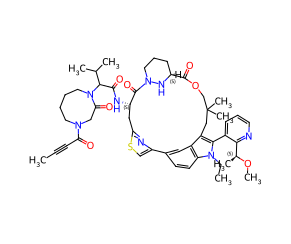 CC#CC(=O)N1CCCCN(C(C(=O)N[C@H]2Cc3nc(cs3)-c3ccc4c(c3)c(c(-c3cccnc3[C@H](C)OC)n4CC)CC(C)(C)COC(=O)[C@@H]3CCCN(N3)C2=O)C(C)C)C(=O)C1